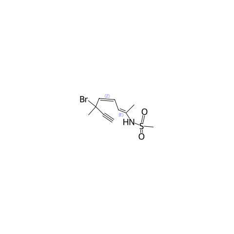 C#CC(C)(Br)/C=C\C=C(/C)NS(C)(=O)=O